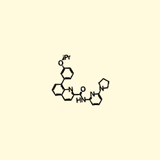 CC(C)Oc1cccc(-c2cccc3ccc(C(=O)Nc4cccc(N5CCCC5)n4)nc23)c1